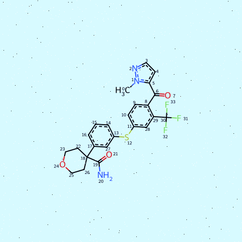 Cn1nccc1C(=O)c1ccc(Sc2cccc(C3(C(N)=O)CCOCC3)c2)cc1C(F)(F)F